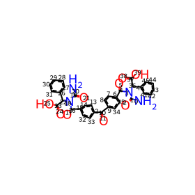 NC(=O)N(C(=O)c1ccc(C(=O)c2ccc(C(=O)N(C(N)=O)C(C(=O)O)c3ccccc3)cc2)cc1)C(C(=O)O)c1ccccc1